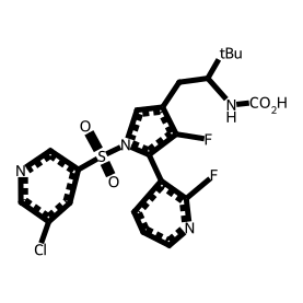 CC(C)(C)C(Cc1cn(S(=O)(=O)c2cncc(Cl)c2)c(-c2cccnc2F)c1F)NC(=O)O